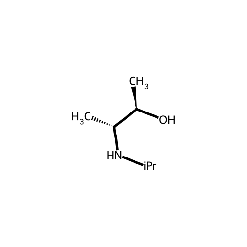 CC(C)N[C@H](C)[C@@H](C)O